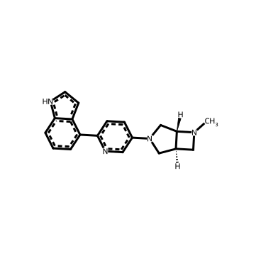 CN1C[C@H]2CN(c3ccc(-c4cccc5[nH]ccc45)nc3)C[C@@H]21